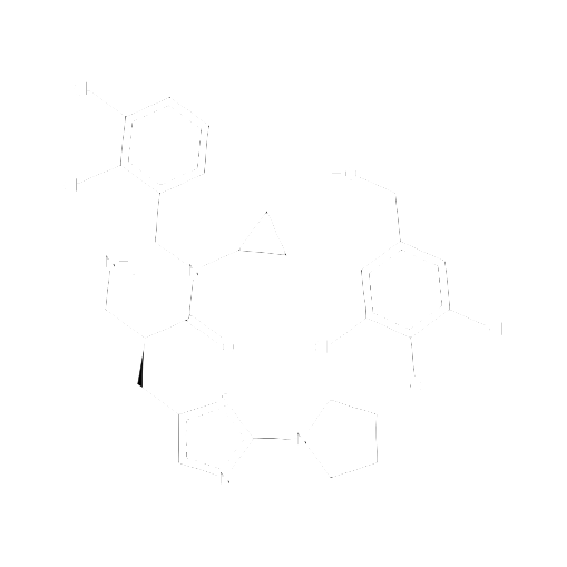 C[C@@H](O)c1cc(Cl)c(O[C@@H]2CCN(c3ncc(C[C@@H](CN)C(=O)N(Cc4cccc(Cl)c4Cl)C4CC4)s3)C2)c(Cl)c1